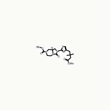 COC(=O)CC(C)(C)Cc1csc(N2C[C@@H]3CN(C(=O)OC(C)(C)C)CCN3C2=O)n1